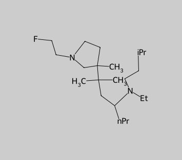 CCCC(CC(C)(C)C1(C)CCN(CCF)C1)N(CC)CCC(C)C